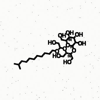 CC(C)CCCCCCCCCOC(CO)OC(CO)[C@H](CO)O[C@H]1OC(CO)[C@@H](O)C(O)C1O